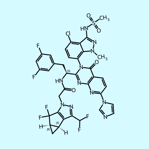 Cn1nc(NS(C)(=O)=O)c2c(Cl)ccc(-n3c([C@H](Cc4cc(F)cc(F)c4)NC(=O)Cn4nc(C(F)F)c5c4C(F)(F)[C@@H]4C[C@H]54)nc4nc(-n5ccnc5)ccc4c3=O)c21